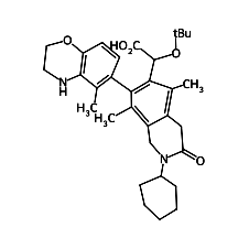 Cc1c(-c2c(C)c3c(c(C)c2C(OC(C)(C)C)C(=O)O)CC(=O)N(C2CCCCC2)C3)ccc2c1NCCO2